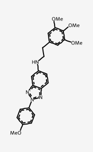 COc1ccc(-n2nc3ccc(NCCc4cc(OC)c(OC)c(OC)c4)cc3n2)cc1